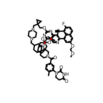 C#Cc1c(F)ccc2cc(OCOC)cc(-c3ncc4c(N5CC6CCC(C5)N6C(=O)OC(C)(C)C)nc(OCC5(CN6CCN(CC7CCC8(CC7)CCN(C(=O)c7ccc(C)c(N9CCC(=O)NC9=O)c7)CC8)CC6)CC5)nc4c3F)c12